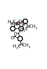 CN(C)c1ccc2c(c1)C(=O)OC2c1ccc(-c2ccccc2N(C)C)c(N(C)C)c1-c1ccccc1N(C)C